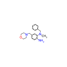 CN(Cc1ccccc1)c1cc(CN2CCOCC2)ccc1N